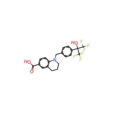 O=C(O)c1ccc2c(c1)CCCN2Cc1ccc(C(O)(C(F)(F)F)C(F)(F)F)cc1